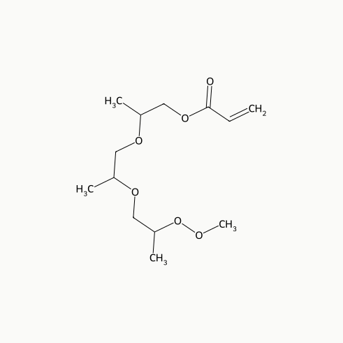 C=CC(=O)OCC(C)OCC(C)OCC(C)OOC